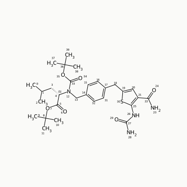 CC(C)C[C@@H](C(=O)OC(C)(C)C)N(Cc1ccc(Cc2cc(C(N)=O)c(NC(N)=O)s2)cc1)C(=O)OC(C)(C)C